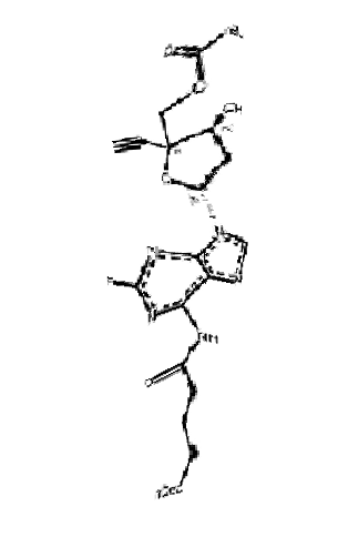 C#C[C@]1(COC(=O)CCCC)O[C@@H](n2cnc3c(NC(=O)CCCCCCCCCCCCC)nc(F)nc32)C[C@@H]1O